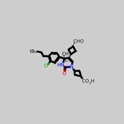 CC(C)(C)CCc1ccc([C@]2(C)NC(=O)N(C3CC(C(=O)O)C3)C=C2[C@H]2C[C@@H](C=O)C2)cc1Cl